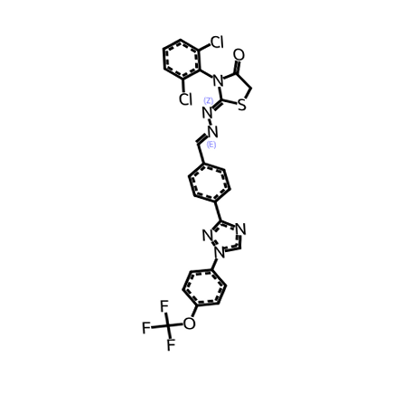 O=C1CS/C(=N\N=C\c2ccc(-c3ncn(-c4ccc(OC(F)(F)F)cc4)n3)cc2)N1c1c(Cl)cccc1Cl